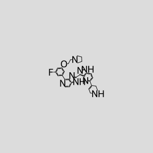 Fc1cc(OCCN2CCCC2)cc(-c2nccc3[nH]c(-c4n[nH]c5ccc(C6=CCNCC6)nc45)nc23)c1